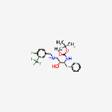 CC(C)(C)OC(=O)N[C@@H](Cc1ccccc1)[C@@H](O)CNCc1ccc(F)c(C(F)(F)F)c1